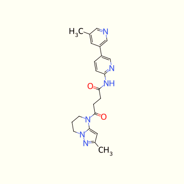 Cc1cncc(-c2ccc(NC(=O)CCC(=O)N3CCCn4nc(C)cc43)nc2)c1